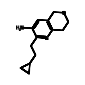 Nc1cc2c(nc1CCC1CC1)CCOC2